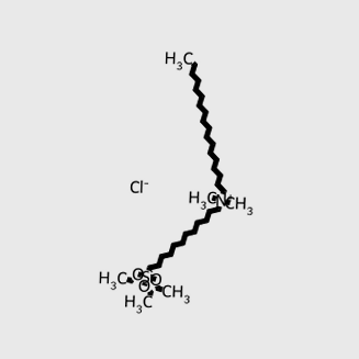 CCCCCCCCCCCCCCCCCC[N+](C)(C)CCCCCCCCCCCC[Si](OCC)(OCC)OCC.[Cl-]